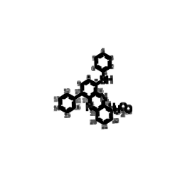 B(c1ccccc1)c1ccc(-c2ccccc2)c2nc3ccccc3nc12.O.O